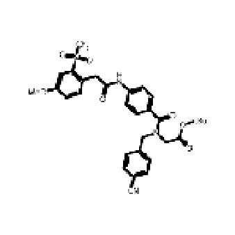 COc1ccc(CC(=O)Nc2ccc(C(=O)N(CC(=O)OC(C)(C)C)Cc3ccc(C#N)cc3)cc2)c(S(=O)(=O)C(F)(F)F)c1